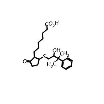 CC(C)(c1ccccc1)C(O)CSC1CCC(=O)C1CCCCCCC(=O)O